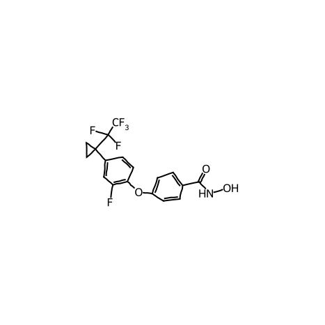 O=C(NO)c1ccc(Oc2ccc(C3(C(F)(F)C(F)(F)F)CC3)cc2F)cc1